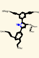 CCCCCCCC#Cc1cc(C#CCCCCCCC)cc(C2=C(CCCC)C=C(c3cc(C=CCCCCCCCCCC)cc(C=CCCCCCCCCCC)c3)[N+]2=[N-])c1.CCCCCCCC[CH2][Ni][CH2]CCCCCCCC